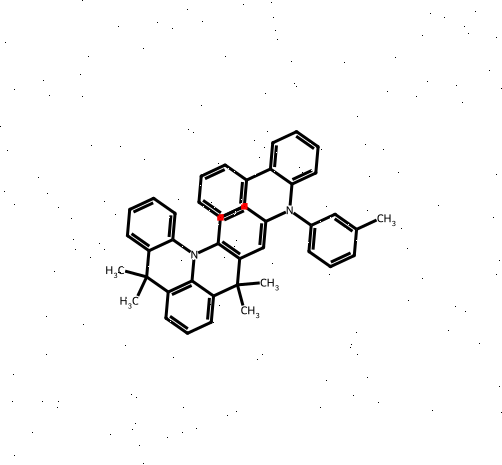 Cc1cccc(N(c2ccc3c(c2)C(C)(C)c2cccc4c2N3c2ccccc2C4(C)C)c2ccccc2-c2ccccc2)c1